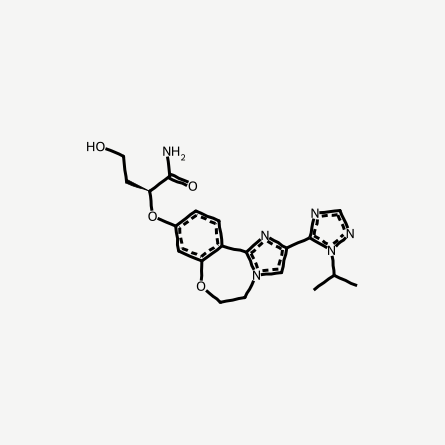 CC(C)n1ncnc1-c1cn2c(n1)-c1ccc(O[C@@H](CCO)C(N)=O)cc1OCC2